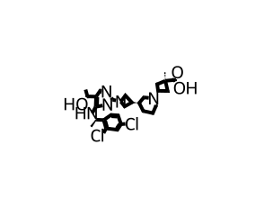 CC(O)c1cnc(N2CC([C@H]3CCCN([C@H]4C[C@](C)(C(=O)O)C4)C3)C2)nc1N[C@H](C)c1ccc(Cl)cc1Cl